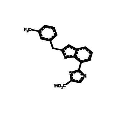 O=C(O)c1cnc(-c2cccc3cc(Cc4cccc(C(F)(F)F)c4)sc23)s1